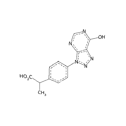 CC(C(=O)O)c1ccc(-n2nnc3c(O)ncnc32)cc1